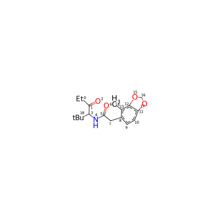 CCC(=O)C(NC(=O)Cc1ccc2c(c1C)OCO2)C(C)(C)C